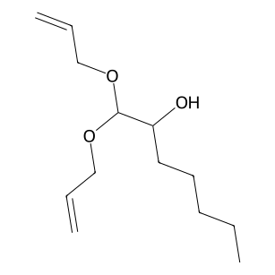 C=CCOC(OCC=C)C(O)CCCCC